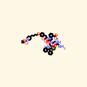 CC(C)(C)OC(=O)N1CCC(CCCCOc2ccc(CC(NC(=O)C(Cc3ccccc3C(=O)OCF)N(C(=O)CNC(=O)CN)C(=O)C(CS)NC(c3ccccc3)(c3ccccc3)c3ccccc3)C(=O)O)cc2)CC1